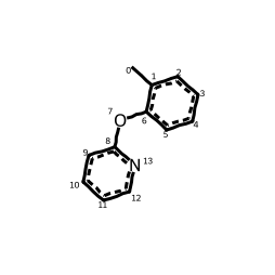 Cc1ccccc1Oc1ccccn1